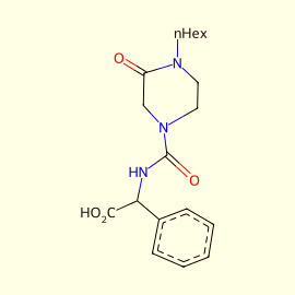 CCCCCCN1CCN(C(=O)NC(C(=O)O)c2ccccc2)CC1=O